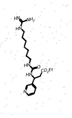 CCOC(=O)CC(NC(=O)NCCCCCCCNC(=N)N)c1cccnc1